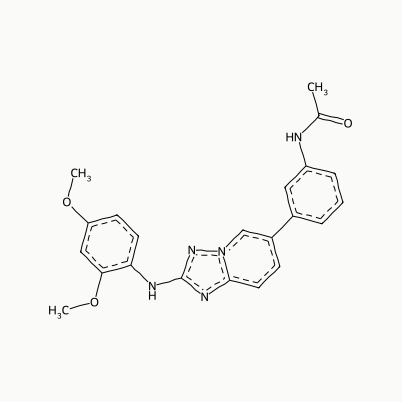 COc1ccc(Nc2nc3ccc(-c4cccc(NC(C)=O)c4)cn3n2)c(OC)c1